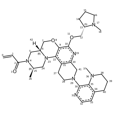 C=CC(=O)N1C[C@@H]2COc3c(OC[C@@H]4CCCN4C)nc4c(c3N2C[C@H]1C)CCN(c1nccc2c1N(C)CCC2)C4